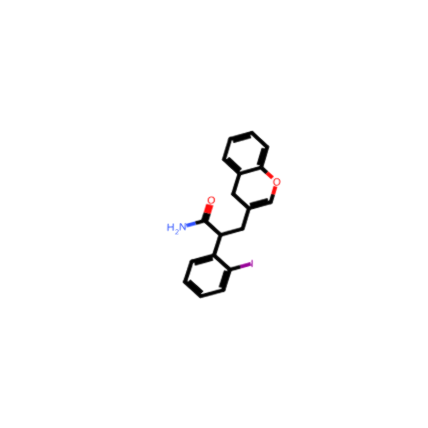 NC(=O)C(CC1=COc2ccccc2C1)c1ccccc1I